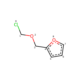 ClCOCc1ccco1